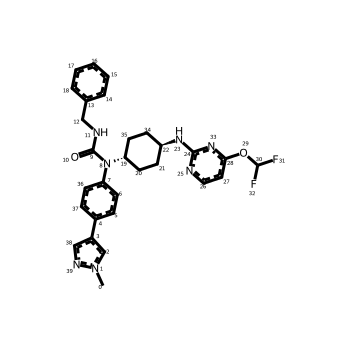 Cn1cc(-c2ccc(N(C(=O)NCc3ccccc3)[C@H]3CC[C@H](Nc4nccc(OC(F)F)n4)CC3)cc2)cn1